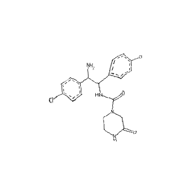 NC(c1ccc(Cl)cc1)C(NC(=O)N1CCNC(=O)C1)c1ccc(Cl)cc1